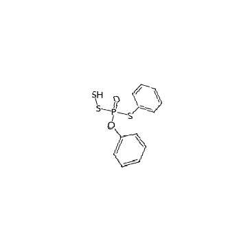 O=P(Oc1ccccc1)(SS)Sc1ccccc1